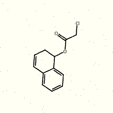 O=C(CCl)OC1CC=Cc2ccccc21